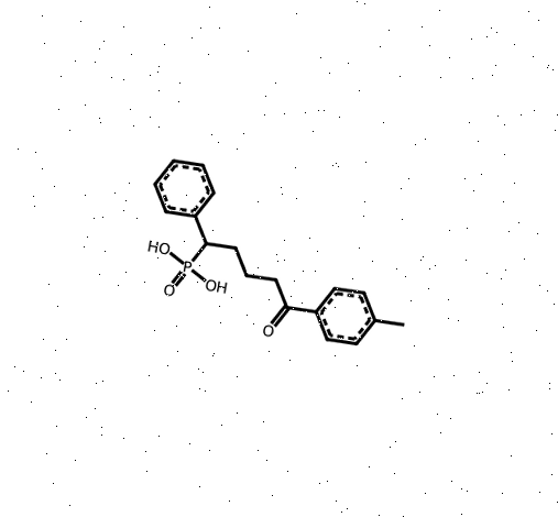 Cc1ccc(C(=O)CCCC(c2ccccc2)P(=O)(O)O)cc1